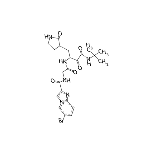 CC(C)(C)NC(=O)C(=O)C(CC1CCNC1=O)NC(=O)CNC(=O)c1cn2cc(Br)ccc2n1